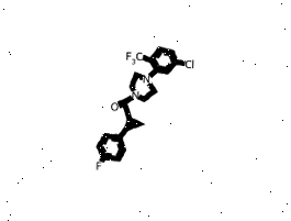 O=C(C1CC1c1ccc(F)cc1)N1CCN(c2cc(Cl)ccc2C(F)(F)F)CC1